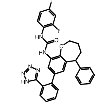 O=C(Nc1ccc(F)cc1F)Nc1cc(-c2ccccc2-c2nnn[nH]2)cc2c1OCCCC2c1ccccc1